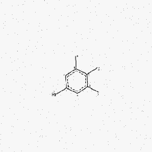 [CH2]c1c(C)cc(Br)cc1C